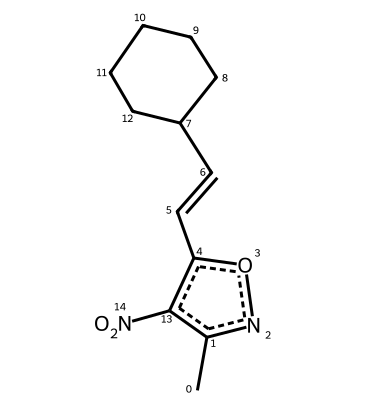 Cc1noc(/C=C/C2CCCCC2)c1[N+](=O)[O-]